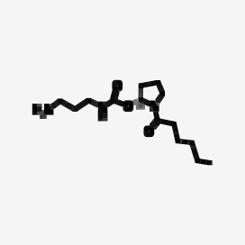 CCCCCC(=O)N1CCC[C@H]1OC(=O)NCCCN